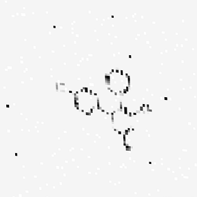 N#Cc1cc(Br)cc(-c2ccc(O)cc2)c1-c1ccccc1